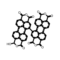 O=C1OC(=O)c2ccc3c4c(-c5cc6c7c(ccc8c9ccc%10c%11c(ccc(c5c78)c%119)C(=O)OC%10O)C(=O)OC6=O)cc5c6c(ccc(c7ccc1c2c73)c64)C(=O)OC5=O